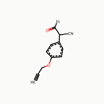 C#CCOc1ccc(C(C#N)C(=O)CC)cc1